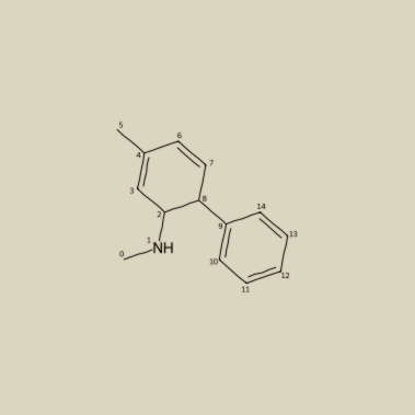 CNC1C=C(C)C=CC1c1ccccc1